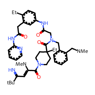 CCc1ccc(NC(=O)CN(Cc2ccccc2CNC)C(=O)C2(CC)CCN(C(=O)/C(=C/C(=N)C(C)(C)C)NC)CC2)cc1CC(=O)Nc1ccccn1